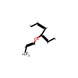 C/C=C\C(=C/C)O/C=C/C(F)(F)F